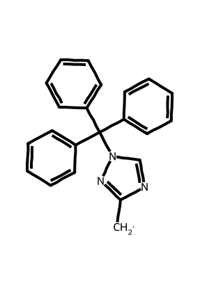 [CH2]c1ncn(C(c2ccccc2)(c2ccccc2)c2ccccc2)n1